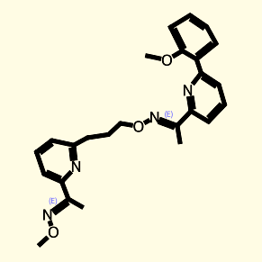 CO/N=C(\C)c1cccc(CCCO/N=C(\C)c2cccc(-c3ccccc3OC)n2)n1